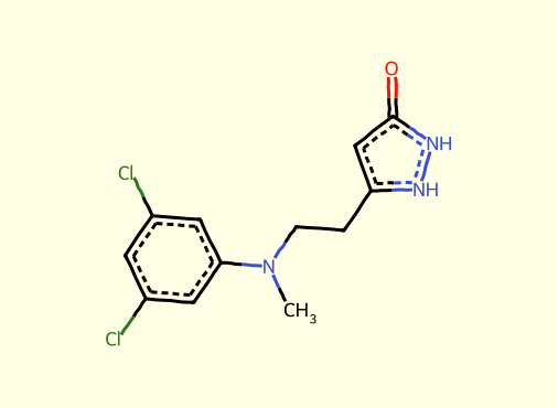 CN(CCc1cc(=O)[nH][nH]1)c1cc(Cl)cc(Cl)c1